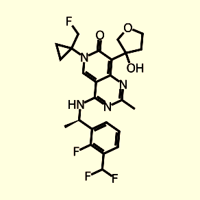 Cc1nc(N[C@H](C)c2cccc(C(F)F)c2F)c2cn(C3(CF)CC3)c(=O)c(C3(O)CCOC3)c2n1